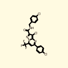 O=C(NCc1ccc(Cl)cc1)c1nn2c(C(F)(F)F)cc(-c3ccc(Cl)cc3)nc2c1Cl